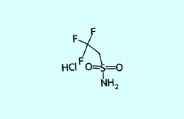 Cl.NS(=O)(=O)CC(F)(F)F